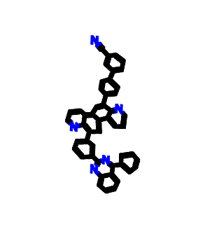 N#Cc1cccc(-c2ccc(-c3cc4c5cccnc5c(-c5cccc(-c6nc(-c7ccccc7)c7ccccc7n6)c5)cc4c4cccnc34)cc2)c1